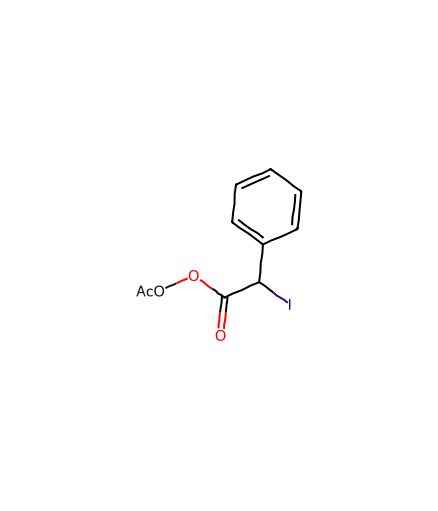 CC(=O)OOC(=O)C(I)c1ccccc1